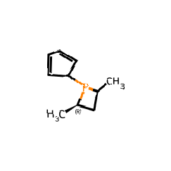 CC1C[C@@H](C)P1C1C=CC=C1